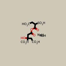 O=C(O)CC(C(=O)OC(=O)CC(O)(CC(=O)O)C(=O)O)S(=O)(=O)O.[NaH].[NaH]